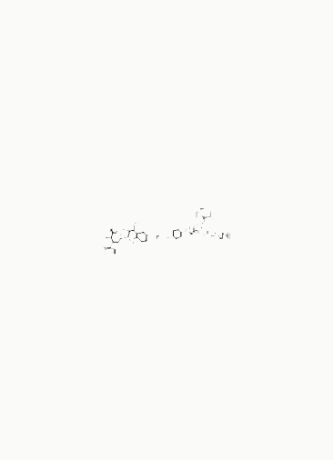 CCc1c2c(nc3ccc(OC(=O)OCc4ccc(NC(=O)[C@H](CCCNC(N)=O)NC(=O)[C@@H](NC(C)=O)C(C)C)cc4)cc13)-c1cc3c(c(=O)n1C2)COC(=O)C3(O)CC